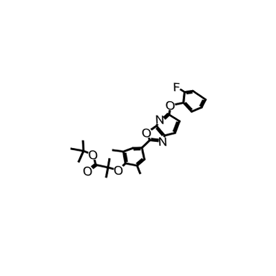 Cc1cc(-c2nc3ccc(Oc4ccccc4F)nc3o2)cc(C)c1OC(C)(C)C(=O)OC(C)(C)C